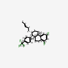 C/C=C/CC[C@@H]1CC[C@H]2c3cc(F)cc(F)c3CC[C@@H]2[C@H]1c1ccc(C(F)(F)F)cc1